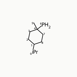 CC(C)C1CCC(C)(P)CC1